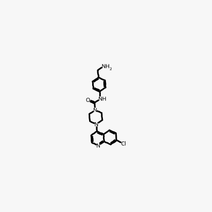 NCc1ccc(NC(=O)N2CCN(c3ccnc4cc(Cl)ccc34)CC2)cc1